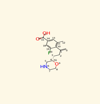 C=C(CC[C@H]1CNCCO1)c1c(C)cc(C(=O)O)cc1F